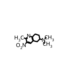 Cc1nc2c(cc1[N+](=O)[O-])CC(N(C)C)CC2